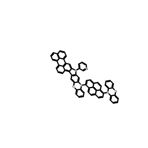 c1cncc(-n2c3cc4c(cc3c3c5cccc6c7cccc8cccc(c(cc32)c65)c87)oc2ccccc2n4-c2ccc3ccc4c(N5c6ccccc6Oc6ccccc65)ccc5ccc2c3c54)c1